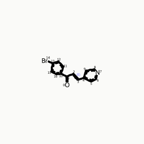 O=C(/C=C/c1ccncc1)c1ccc(Br)cc1